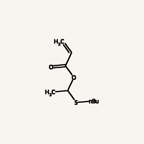 C=CC(=O)OC(C)SCCCC